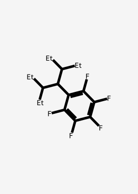 CCC(CC)C(c1c(F)c(F)c(F)c(F)c1F)C(CC)CC